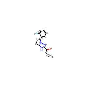 CCC(=O)C1=NN2C(CC[C@H]2c2ccccc2F)N1